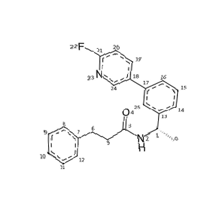 C[C@H](NC(=O)CCc1ccccc1)c1cccc(-c2ccc(F)nc2)c1